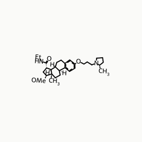 CCNC(=O)[C@H]1C[C@H](OC)[C@@]2(C)CC[C@@H]3c4ccc(OCCCN5CCC[C@H]5C)cc4CC[C@H]3[C@H]12